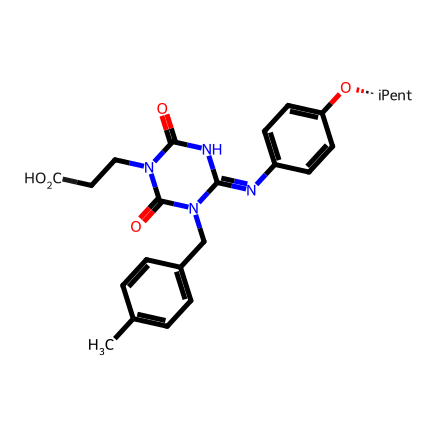 CCC[C@@H](C)Oc1ccc(/N=c2\[nH]c(=O)n(CCC(=O)O)c(=O)n2Cc2ccc(C)cc2)cc1